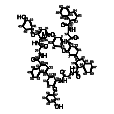 COc1ccc(Oc2cc(-c3cc(C(=O)NCC(=O)Nc4cc(-c5ccc(C(=O)NCC(=O)Nc6ccccc6Oc6ccc(O)cc6)c6ccccc56)ccc4Oc4cccc(O)c4)c4ccccc4c3)ccc2NC(=O)CNC(=O)c2cccc3ccccc23)cc1